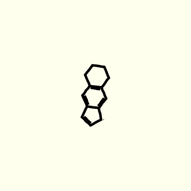 [CH]1C=Cc2cc3c(cc21)CCCC3